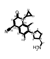 Cc1c(N2CC[C@@H](CN)C2)c(F)cc2c(C#N)cc(=O)n(C3CC3)c12